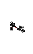 O=C(O)CCCOc1cccc(CCCCCCOc2cc(C(=O)NC3CCCCC3)cc(-c3ccc4c(c3)OCO4)c2)c1CCC(=O)O